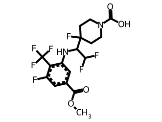 COC(=O)c1cc(F)c(C(F)(F)F)c(NC(C(F)F)C2(F)CCN(C(=O)O)CC2)c1